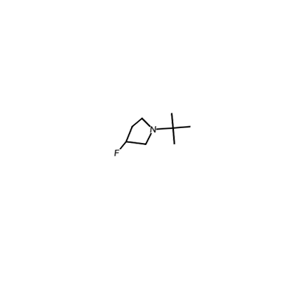 CC(C)(C)N1CCC(F)C1